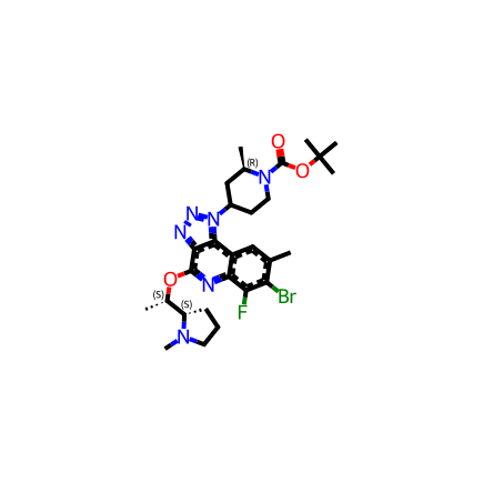 Cc1cc2c(nc(O[C@@H](C)[C@@H]3CCCN3C)c3nnn(C4CCN(C(=O)OC(C)(C)C)[C@H](C)C4)c32)c(F)c1Br